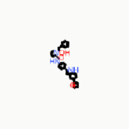 O=C(Nc1ccc(-c2cc3cc(-c4ccco4)ccc3[nH]2)cc1)[C@@H]1CCCN1C(O)Cc1ccccc1